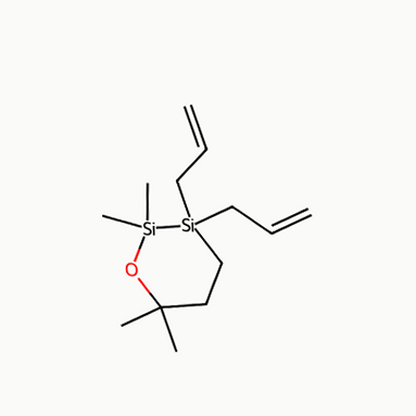 C=CC[Si]1(CC=C)CCC(C)(C)O[Si]1(C)C